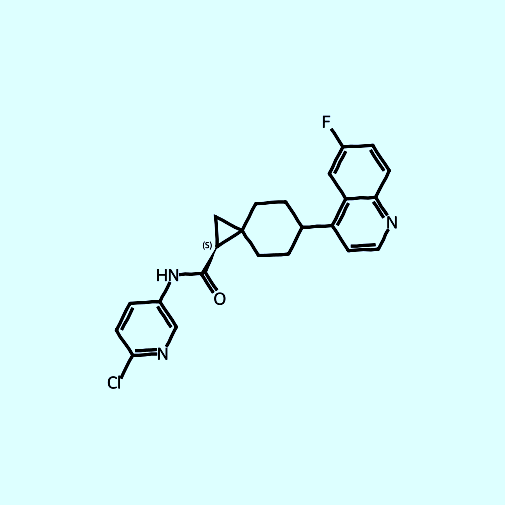 O=C(Nc1ccc(Cl)nc1)[C@H]1CC12CCC(c1ccnc3ccc(F)cc13)CC2